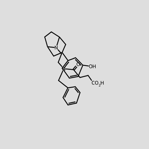 O=C(O)CCC(=O)N(CCN1C2CCC1CC(c1cccc(O)c1)C2)Cc1ccccc1